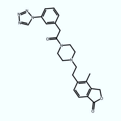 Cc1c(CCN2CCN(C(=O)Cc3cccc(-n4cnnn4)c3)CC2)ccc2c1COC2=O